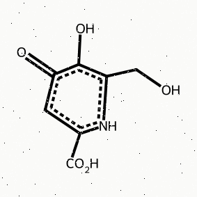 O=C(O)c1cc(=O)c(O)c(CO)[nH]1